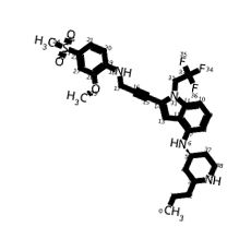 CCCC1C[C@H](Nc2cccc3c2cc(C#CCNc2ccc(S(C)(=O)=O)cc2OC)n3CC(F)(F)F)CCN1